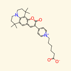 CC1(C)CCN2CCC(C)(C)c3c2c1cc1cc(-c2cc[n+](CCCCCC(=O)[O-])cc2)c(=O)oc31